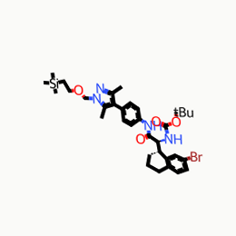 Cc1nn(COCC[Si](C)(C)C)c(C)c1-c1ccc(NC(=O)[C@@H](NC(=O)OC(C)(C)C)[C@H]2CCCc3ccc(Br)cc32)cc1